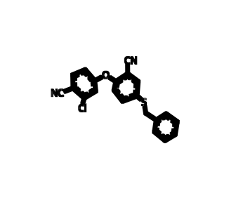 N#Cc1ccc(Oc2ccc(SCc3ccccc3)cc2C#N)cc1Cl